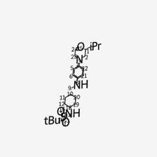 CC(C)C1CN(c2ccc(NC[C@H]3CC[C@H](NS(=O)(=O)C(C)(C)C)CC3)cc2)CCO1